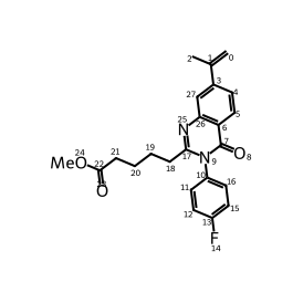 C=C(C)c1ccc2c(=O)n(-c3ccc(F)cc3)c(CCCCC(=O)OC)nc2c1